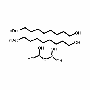 CCCCCCCCCCCCCCCCCCO.CCCCCCCCCCCCCCCCCCO.OP(O)OP(O)O